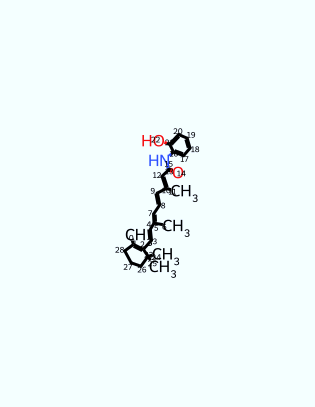 CC1=C(/C=C/C(C)=C/C=C/C(C)=C/C(=O)Nc2ccccc2O)C(C)(C)CCC1